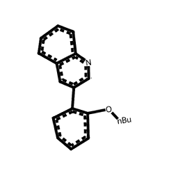 CCCCOc1ccccc1-c1[c]nc2ccccc2c1